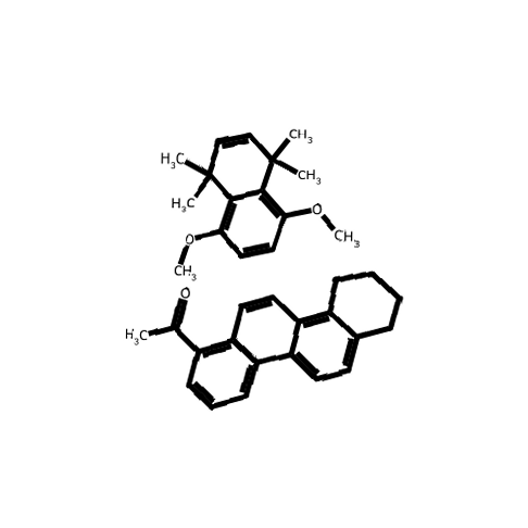 CC(=O)c1cccc2c1ccc1c3c(ccc12)CCCC3.COc1ccc(OC)c2c1C(C)(C)C=CC2(C)C